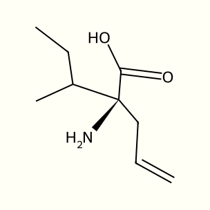 C=CC[C@@](N)(C(=O)O)C(C)CC